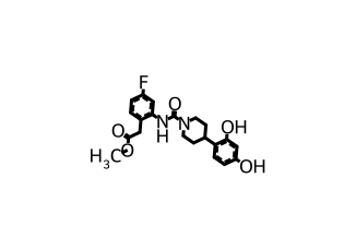 COC(=O)Cc1ccc(F)cc1NC(=O)N1CCC(c2ccc(O)cc2O)CC1